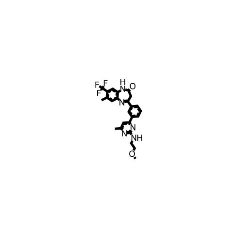 COCCNc1nc(C)cc(-c2cccc(C3=Nc4cc(C)c(C(F)(F)F)cc4NC(=O)C3)c2)n1